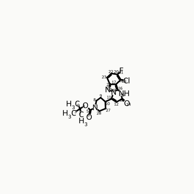 CC(C)(C)OC(=O)N1CCC(c2cc(=O)[nH]c3c4c(Cl)c(F)ccc4nn23)CC1